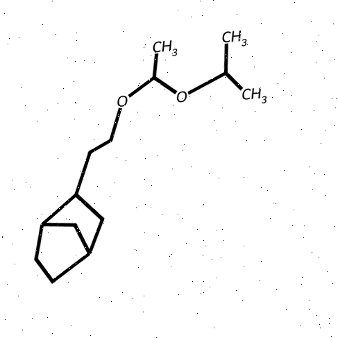 CC(C)OC(C)OCCC1CC2CCC1C2